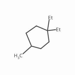 CCC1(CC)CCC(C)CC1